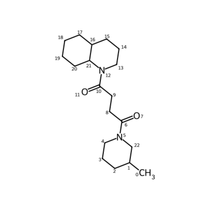 CC1CCCN(C(=O)CCC(=O)N2CCCC3CCCCC32)C1